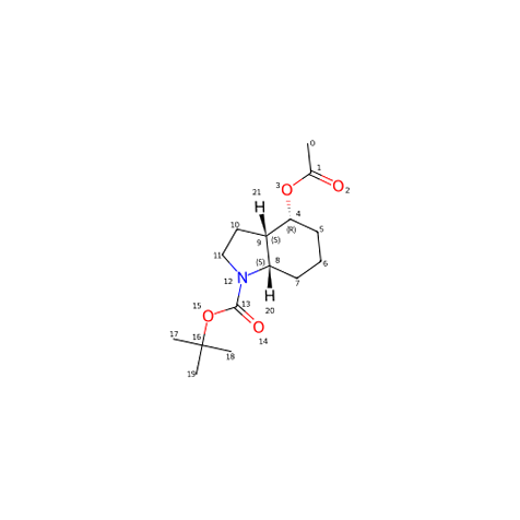 CC(=O)O[C@@H]1CCC[C@H]2[C@@H]1CCN2C(=O)OC(C)(C)C